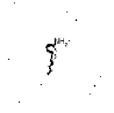 CCCCCOc1cccc(N)n1